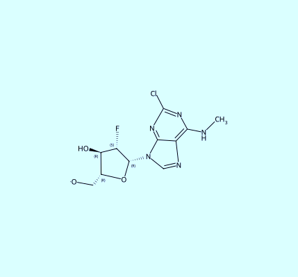 CNc1nc(Cl)nc2c1ncn2[C@@H]1O[C@H](C[O])[C@@H](O)[C@@H]1F